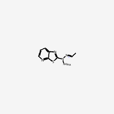 C/C=N/N(CCCCCC)c1nc2cccnc2s1